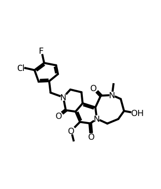 COc1c2c(c3n(c1=O)CCC(O)CN(C)C3=O)CCN(Cc1ccc(F)c(Cl)c1)C2=O